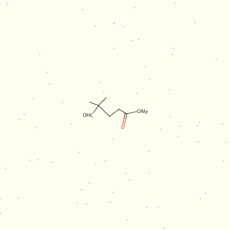 COC(=O)CCC(C)(C)C=O